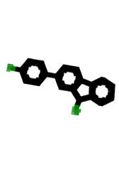 Fc1ccc(-c2ccc3c(c2)C(Br)c2ccccc2-3)cc1